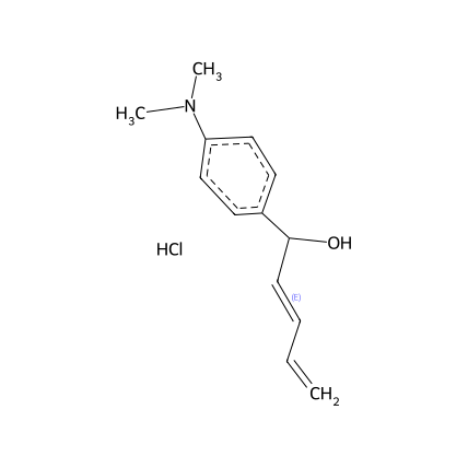 C=C/C=C/C(O)c1ccc(N(C)C)cc1.Cl